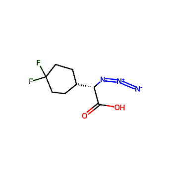 [N-]=[N+]=N[C@H](C(=O)O)C1CCC(F)(F)CC1